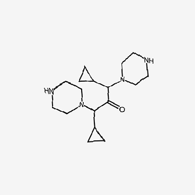 O=C(C(C1CC1)N1CCNCC1)C(C1CC1)N1CCNCC1